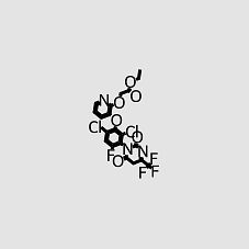 CCOC(=O)COc1ncccc1Oc1c(Cl)cc(F)c(N2C(=O)CC(C(F)(F)F)=NC2=O)c1Cl